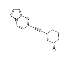 O=C1C=C(C#Cc2ccn3nccc3n2)CCC1